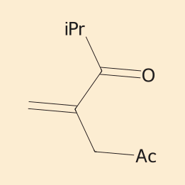 C=C(CC(C)=O)C(=O)C(C)C